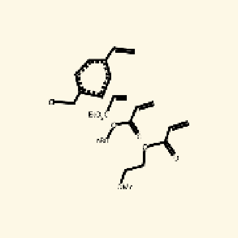 C=CC(=O)OCC.C=CC(=O)OCCCC.C=CC(=O)OCCOC.C=Cc1ccc(CCl)cc1